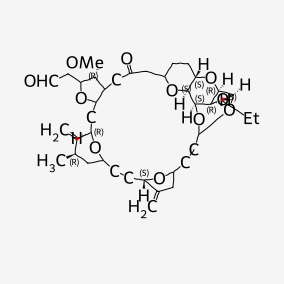 C=C1CC2CCC3O[C@@H]4[C@@H]5OC(CC)[C@H](O3)[C@@H]5O[C@H]3CCC(CC(=O)CC5C(C[C@H]6OC(CC[C@@H]1O2)C[C@@H](C)C6=C)OC(CC=O)[C@@H]5OC)O[C@H]43